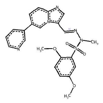 COc1ccc(OC)c(S(=O)(=O)N(C)/N=C/c2cnc3ccc(-c4cccnc4)cn23)c1